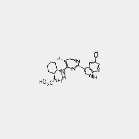 O=C(O)N[C@H]1CCCC[C@H]1Nc1nc(-c2c[nH]c3ncc(Cl)cc23)ncc1F